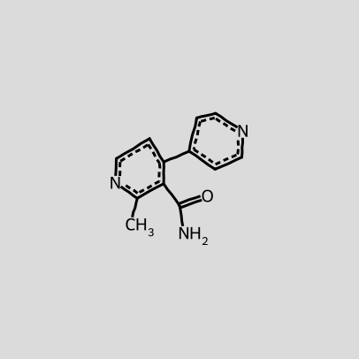 Cc1nccc(-c2ccncc2)c1C(N)=O